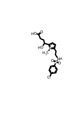 Cn1c(CCNS(=O)(=O)c2ccc(Cl)cc2)ccc1C(O)CCC(=O)O